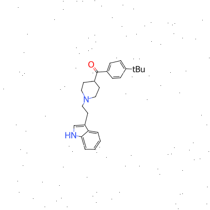 CC(C)(C)c1ccc(C(=O)C2CCN(CCc3c[nH]c4ccccc34)CC2)cc1